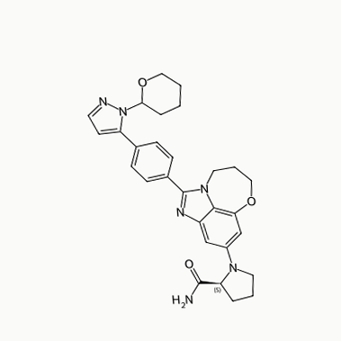 NC(=O)[C@@H]1CCCN1c1cc2c3c(c1)nc(-c1ccc(-c4ccnn4C4CCCCO4)cc1)n3CCCO2